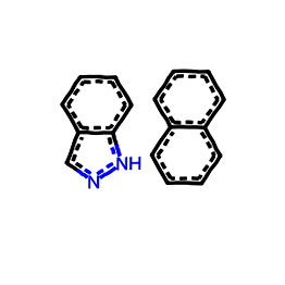 c1ccc2[nH]ncc2c1.c1ccc2ccccc2c1